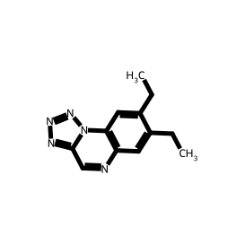 CCc1cc2ncc3nnnn3c2cc1CC